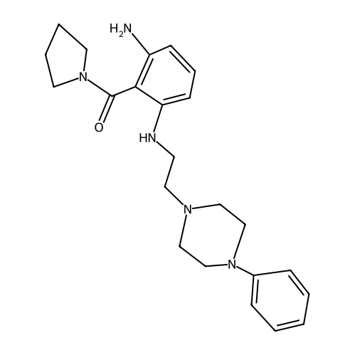 Nc1cccc(NCCN2CCN(c3ccccc3)CC2)c1C(=O)N1CCCC1